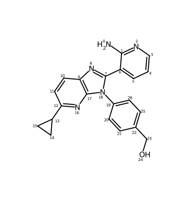 Nc1ncccc1-c1nc2ccc(C3CC3)nc2n1-c1ccc(CO)cc1